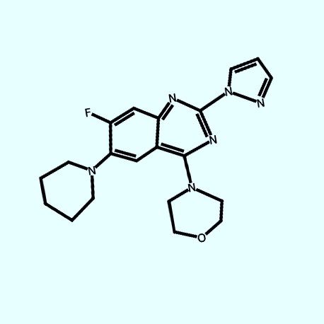 Fc1cc2nc(-n3cccn3)nc(N3CCOCC3)c2cc1N1CCCCC1